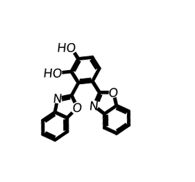 Oc1ccc(-c2nc3ccccc3o2)c(-c2nc3ccccc3o2)c1O